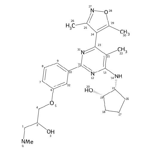 CNCC(O)COc1cccc(-c2nc(N[C@@H]3CCC[C@@H]3O)c(C)c(-c3c(C)noc3C)n2)c1